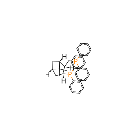 CC1(C)[C@@H]2C[C@@H](P(c3ccccc3)c3ccccc3)[C@@H](CP(c3ccccc3)c3ccccc3)[C@H]1C2